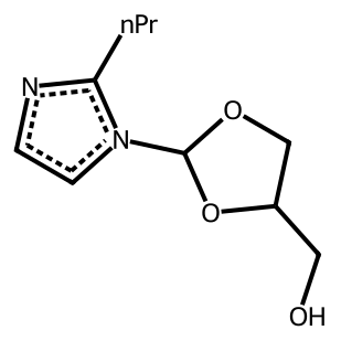 CCCc1nccn1C1OCC(CO)O1